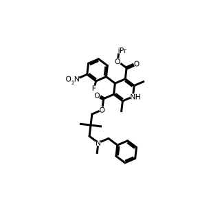 CC1=C(C(=O)OCC(C)(C)CN(C)Cc2ccccc2)C(c2cccc([N+](=O)[O-])c2F)C(C(=O)OC(C)C)=C(C)N1